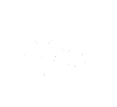 O=c1c(-c2cccc(F)c2)c(CBr)oc2ccc(F)cc12